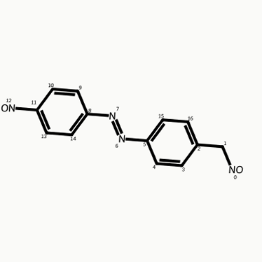 O=NCc1ccc(N=Nc2ccc(N=O)cc2)cc1